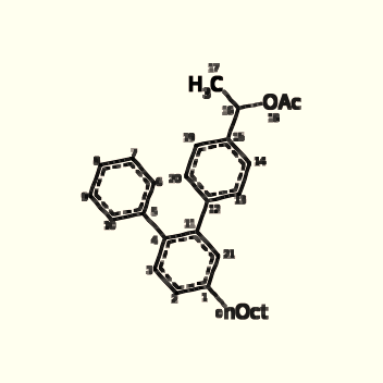 CCCCCCCCc1ccc(-c2ccccc2)c(-c2ccc(C(C)OC(C)=O)cc2)c1